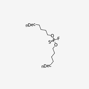 CCCCCCCCCCCCCCOP(F)(=S)OCCCCCCCCCCCCCC